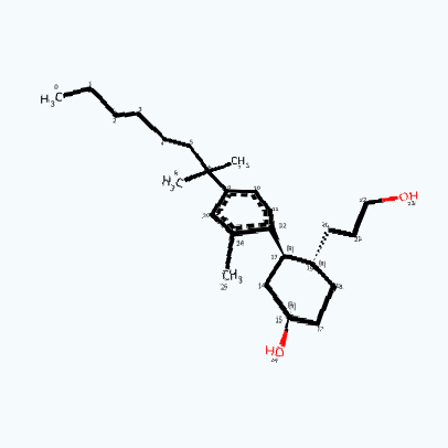 CCCCCCC(C)(C)c1ccc([C@@H]2C[C@H](O)CC[C@H]2CCCO)c(C)c1